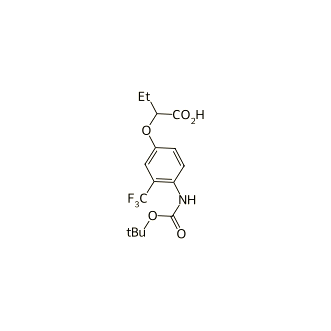 CCC(Oc1ccc(NC(=O)OC(C)(C)C)c(C(F)(F)F)c1)C(=O)O